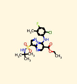 CCOC(=O)c1cnc2c(S(=O)(=O)NC(C)(C)C)cnn2c1Nc1cc(C)c(F)cc1Cl